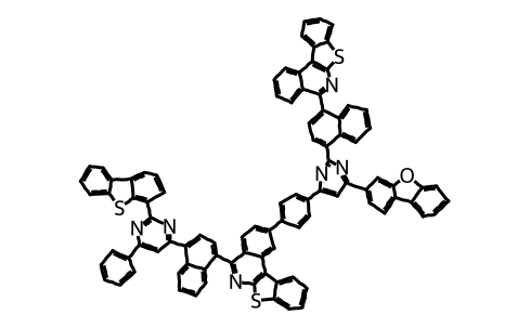 c1ccc(-c2cc(-c3ccc(-c4nc5sc6ccccc6c5c5cc(-c6ccc(-c7cc(-c8ccc9c(c8)oc8ccccc89)nc(-c8ccc(-c9nc%10sc%11ccccc%11c%10c%10ccccc9%10)c9ccccc89)n7)cc6)ccc45)c4ccccc34)nc(-c3cccc4c3sc3ccccc34)n2)cc1